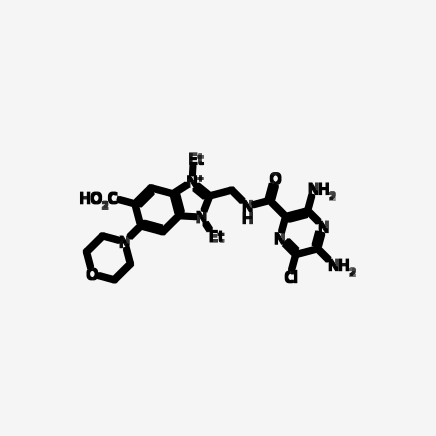 CCn1c(CNC(=O)c2nc(Cl)c(N)nc2N)[n+](CC)c2cc(C(=O)O)c(N3CCOCC3)cc21